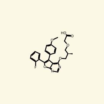 COc1ccc(-c2c(-c3ccccc3F)oc3ncnc(OC[C@H](C)COCC(=O)O)c23)cc1